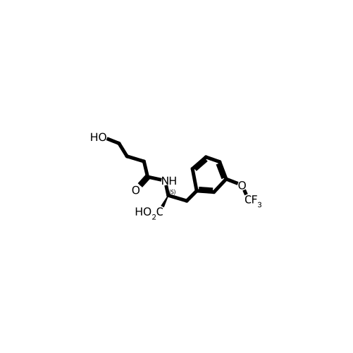 O=C(CCCO)N[C@@H](Cc1cccc(OC(F)(F)F)c1)C(=O)O